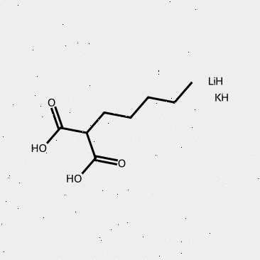 CCCCCC(C(=O)O)C(=O)O.[KH].[LiH]